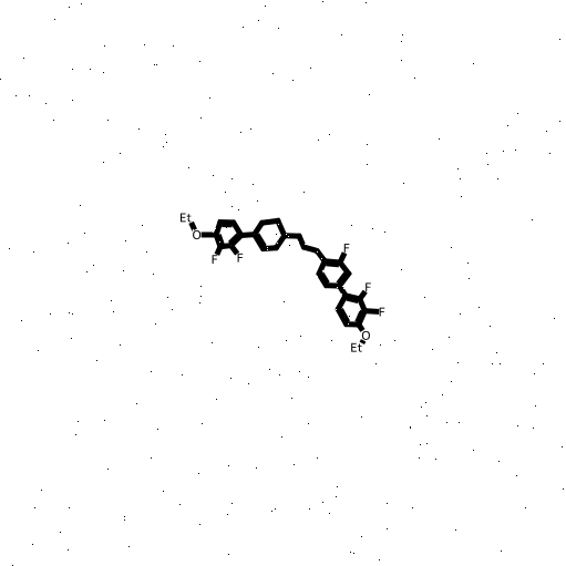 CCOc1ccc(C2=CCC(CCCc3ccc(-c4ccc(OCC)c(F)c4F)cc3F)CC2)c(F)c1F